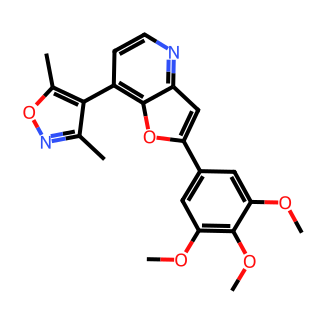 COc1cc(-c2cc3nccc(-c4c(C)noc4C)c3o2)cc(OC)c1OC